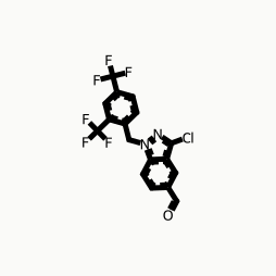 O=Cc1ccc2c(c1)c(Cl)nn2Cc1ccc(C(F)(F)F)cc1C(F)(F)F